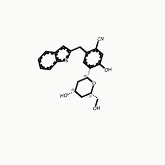 N#Cc1cc(O)c([C@H]2C[C@@H](O)C[C@@H](CO)O2)cc1Cc1cc2ccccc2s1